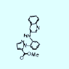 COC(=O)c1ccnn1-c1ccccc1Nc1cnc2ccccc2c1